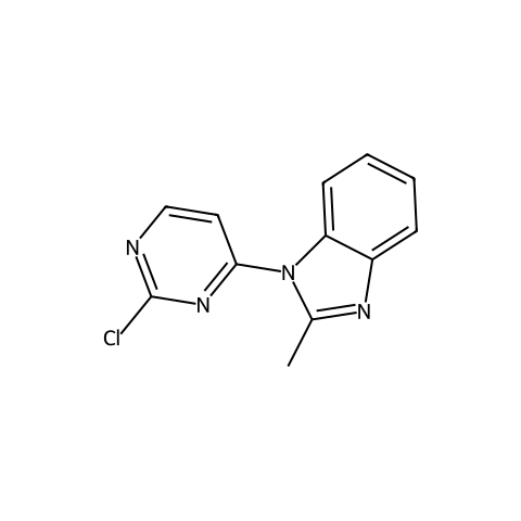 Cc1nc2ccccc2n1-c1ccnc(Cl)n1